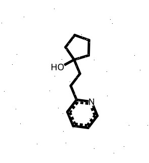 OC1(CCc2ccccn2)CCCC1